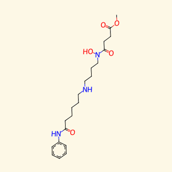 COC(=O)CCC(=O)N(O)CCCCNCCCCCC(=O)Nc1ccccc1